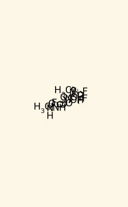 CNC(=O)Nc1cc2c(cc1F)[C@@H](C(=O)N(CC(=O)N1[C@@H](C)CC[C@H]1c1cc(F)c(F)c(F)c1)C(=O)O)CC2